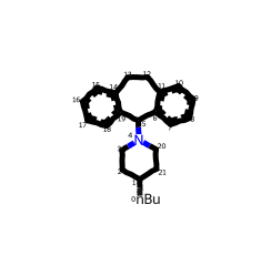 CCCCC1CCN(C2c3ccccc3CCc3ccccc32)CC1